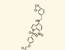 COc1ccc(S(=O)(=O)n2ccc3c(NCc4cccc(OC)c4)ccc([N+](=O)[O-])c32)cc1